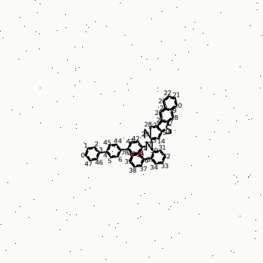 c1ccc(-c2ccc(-c3ccc(N(c4cc5sc6cc7ccccc7cc6c5cn4)c4ccccc4-c4ccccc4)cc3)cc2)cc1